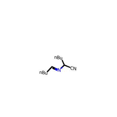 CCCCC=NC(C#N)CCCC